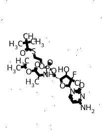 CC(C)OC(=O)[C@H](C)N[P@](=O)(OCCSC(=O)C(C)(C)C)OC[C@H]1O[C@@H](n2ccc(N)nc2=O)[C@@](F)(Cl)[C@@H]1O